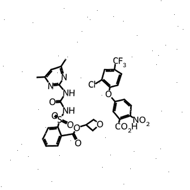 Cc1cc(C)nc(NC(=O)NS(=O)(=O)c2ccccc2C(=O)OC2COC2)n1.O=C(O)c1cc(Oc2ccc(C(F)(F)F)cc2Cl)ccc1[N+](=O)[O-]